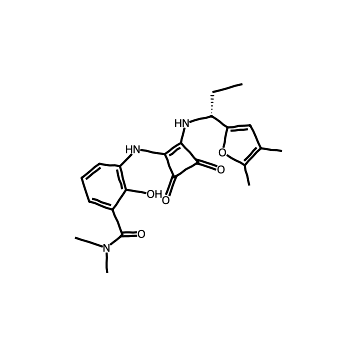 CC[C@@H](Nc1c(Nc2cccc(C(=O)N(C)C)c2O)c(=O)c1=O)c1cc(C)c(C)o1